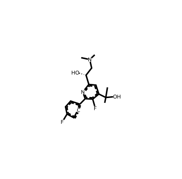 CN(C)C[C@@H](O)c1cc(C(C)(C)O)c(F)c(-c2ccc(F)cc2)n1